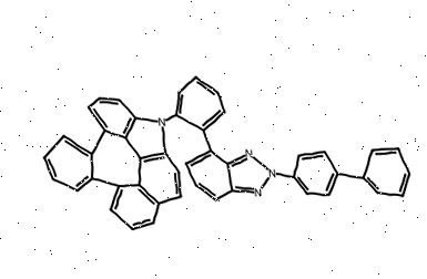 c1ccc(-c2ccc(-n3nc4cccc(-c5ccccc5-n5c6cccc7c6c6c8c(cccc8ccc65)-c5ccccc5-7)c4n3)cc2)cc1